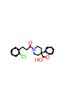 O=C(CCc1ccccc1Cl)N1CCC(C(=O)O)(c2ccccc2)CC1